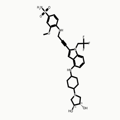 COc1cc(S(N)(=O)=O)ccc1NCC#Cc1cc2c(NC3CCC(N4C[C@H](O)[C@@H](O)C4)CC3)cccc2n1CC(F)(F)F